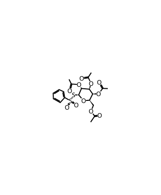 CC(=O)OC[C@H]1O[C@@H](SS(=O)(=O)c2ccccc2)[C@H](OC(C)=O)[C@@H](OC(C)=O)[C@H]1OC(C)=O